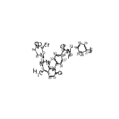 CCOC(=O)N1CCN(c2nc(C)c3ccc(=O)n(-c4ccc(C(=O)N(F)Cc5ccc(F)cc5)cc4)c3n2)CC1